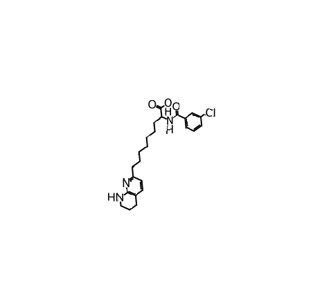 O=C(NC(CCCCCCCc1ccc2c(n1)NCCC2)C(=O)O)c1cccc(Cl)c1